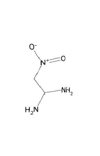 N[C](N)C[N+](=O)[O-]